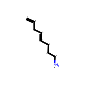 C=CCC=CCCCN